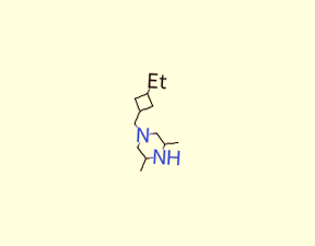 CCC1CC(CN2CC(C)NC(C)C2)C1